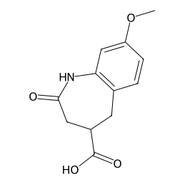 COc1ccc2c(c1)NC(=O)CC(C(=O)O)C2